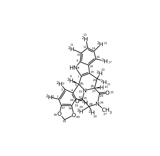 [2H]c1c([2H])c([C@]2([2H])c3[nH]c4c([2H])c([2H])c([2H])c([2H])c4c3C([2H])([2H])[C@@H]3C(=O)N(C)C([2H])([2H])C(=O)N32)c([2H])c2c1OCO2